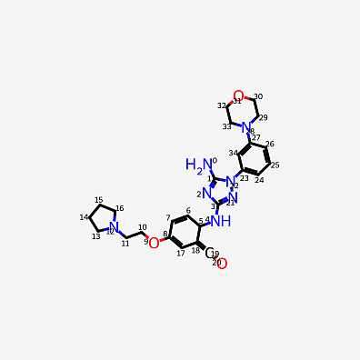 Nc1nc(NC2C=CC(OCCN3CCCC3)=CC2=C=O)nn1-c1cccc(N2CCOCC2)c1